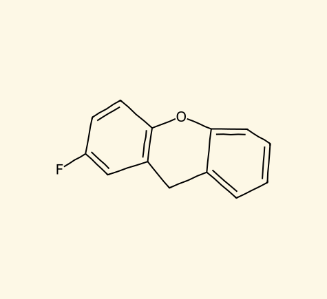 Fc1ccc2c(c1)Cc1ccccc1O2